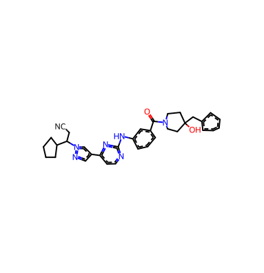 N#CCC(C1CCCC1)n1cc(-c2ccnc(Nc3cccc(C(=O)N4CCC(O)(Cc5ccccc5)CC4)c3)n2)cn1